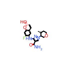 C[C@H]1CCOCC1n1cc(C(N)=O)c(Nc2cc3c(cc2F)OB(O)C=C3)n1